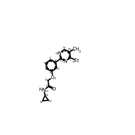 CCc1nc(-c2cccc(OCC(=O)NC3CC3)c2)ncc1C